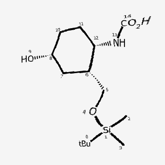 CC(C)(C)[Si](C)(C)OC[C@@H]1C[C@H](O)CC[C@@H]1NC(=O)O